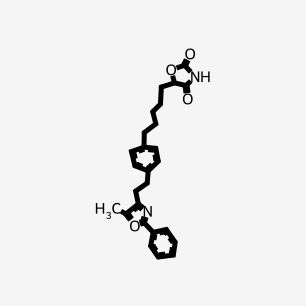 Cc1oc(-c2ccccc2)nc1CCc1ccc(CCCCCC2OC(=O)NC2=O)cc1